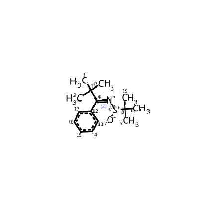 CC(C)(C)/C(=N/[S@@+]([O-])C(C)(C)C)c1ccccc1